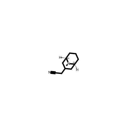 CN1[C@@H]2CCC[C@H]1CC(CC#N)C2